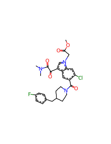 COC(=O)Cn1cc(C(=O)C(=O)N(C)C)c2cc(C(=O)N3CCC(Cc4ccc(F)cc4)CC3)c(Cl)cc21